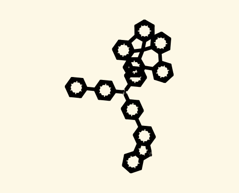 c1ccc(-c2ccc(N(c3ccc(-c4ccc5sc6ccccc6c5c4)cc3)c3cccc(-c4cccc5c4C4(c6ccccc6-c6ccccc6-c6ccccc64)c4ccccc4-5)c3)cc2)cc1